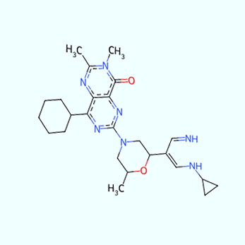 Cc1nc2c(C3CCCCC3)nc(N3CC(C)OC(/C(C=N)=C/NC4CC4)C3)nc2c(=O)n1C